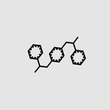 CC(Cc1ccc(CC(C)c2ccccc2)cc1)c1ccccc1